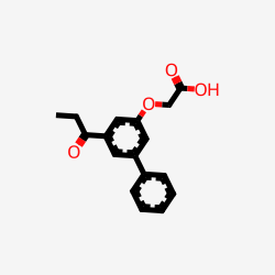 CCC(=O)c1cc(OCC(=O)O)cc(-c2ccccc2)c1